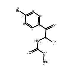 CC(C)C(NC(=O)OC(C)(C)C)C(=O)c1ccc(Br)cc1